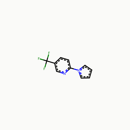 FC(F)(F)c1ccc(-n2cccc2)nc1